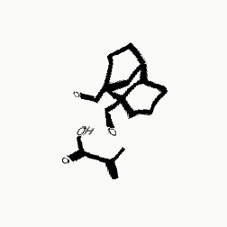 C=C(C)C(=O)O.O=CC12CCC(C1)C1CCCC12C=O